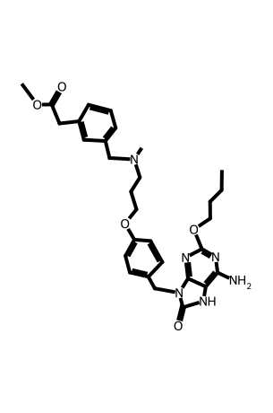 CCCCOc1nc(N)c2[nH]c(=O)n(Cc3ccc(OCCCN(C)Cc4cccc(CC(=O)OC)c4)cc3)c2n1